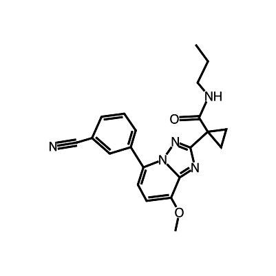 CCCNC(=O)C1(c2nc3c(OC)ccc(-c4cccc(C#N)c4)n3n2)CC1